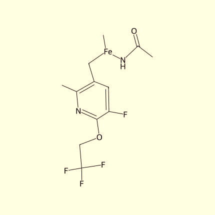 CC(=O)[NH][Fe]([CH3])[CH2]c1cc(F)c(OCC(F)(F)F)nc1C